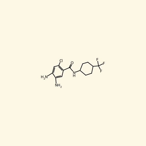 Nc1cc(Cl)c(C(=O)NC2CCC(C(F)(F)F)CC2)cc1N